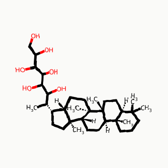 CC(C(O)C(O)C(O)C(O)C(O)CO)[C@H]1CC[C@]2(C)[C@H]3CC[C@@H]4[C@@]5(C)CCCC(C)(C)[C@@H]5CC[C@@]4(C)[C@]3(C)CC[C@@H]12